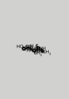 Cc1cc(Nc2cc(C)nc(Nc3ccc(NC(=O)NC(=O)C(Cc4ccccc4)C(=O)O)cc3C)n2)[nH]n1